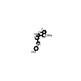 COc1ccc(F)c(Cl)c1C(CF)c1c[nH]c2ncc(-c3cnn(C4CCC(O)CC4)c3)cc12